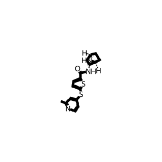 Cc1cc(Sc2ccc(C(=O)N[C@@H]3C[C@H]4CC[C@@H]3N4)s2)ccn1